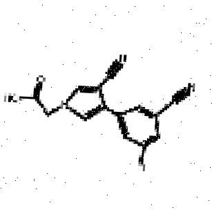 N#Cc1cc(Cl)cc(-c2cn(CC(=O)O)cc2C#N)c1